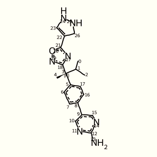 CC(C)[C@](C)(c1ccc(-c2cnc(N)nc2)cc1)c1noc(C2=CNNC2)n1